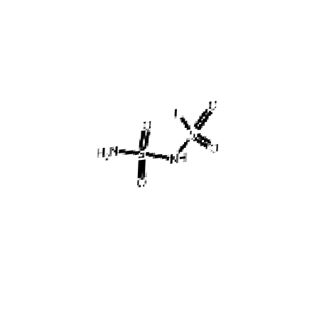 NS(=O)(=O)NS(=O)(=O)F